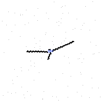 CCCCCCCCCCCCCCCCCCC[n+]1ccn(CCCCCCCCCCCCCCCCC)c1CCCCCC